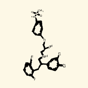 CS(=O)(=O)Nc1ccc(OCC(O)CNCC(Cc2c(F)cccc2F)c2ccc(Cl)c(Cl)c2)cc1